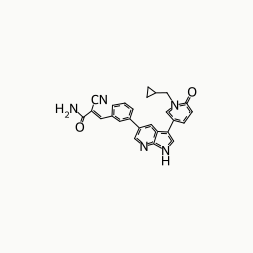 N#C/C(=C\c1cccc(-c2cnc3[nH]cc(-c4ccc(=O)n(CC5CC5)c4)c3c2)c1)C(N)=O